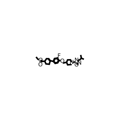 CCOC(=O)C1CC=C(c2ccc(OCC3CCN(c4nc(C(C)C)no4)CC3)c(F)c2)CC1